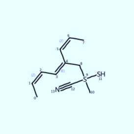 C\C=C/C=C(\C=C/C)CS(C)(S)C#N